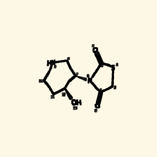 O=C1CSC(=O)N1[C@H]1CNCC[C@@H]1O